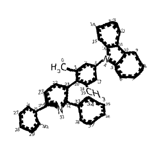 Cc1cc(-n2c3ccccc3c3ccccc32)cc(C)c1-c1ccc(-c2ccccc2)nc1-c1ccccc1